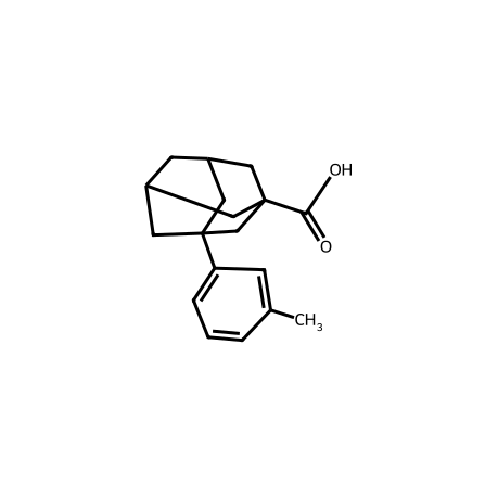 Cc1cccc(C23CC4CC(CC(C(=O)O)(C4)C2)C3)c1